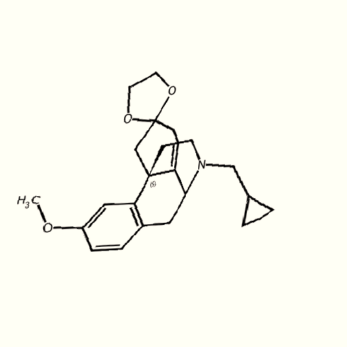 COc1ccc2c(c1)[C@@]13CCN(CC4CC4)C(C2)C1=CCC1(C3)OCCO1